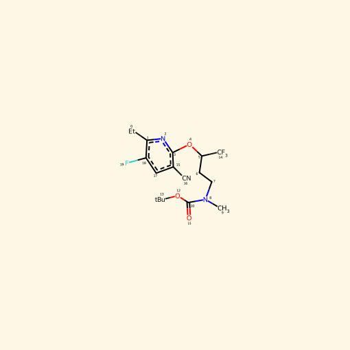 CCc1nc(OC(CCN(C)C(=O)OC(C)(C)C)C(F)(F)F)c(C#N)cc1F